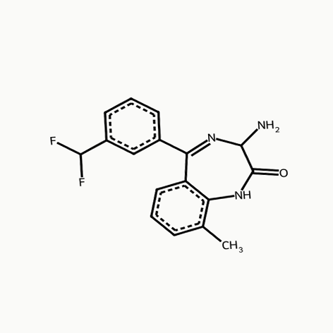 Cc1cccc2c1NC(=O)C(N)N=C2c1cccc(C(F)F)c1